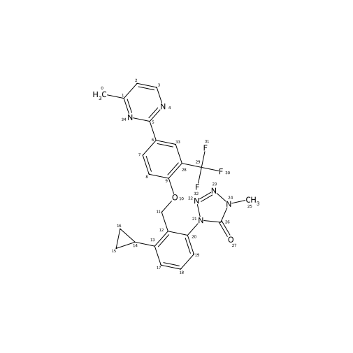 Cc1ccnc(-c2ccc(OCc3c(C4CC4)cccc3-n3nnn(C)c3=O)c(C(F)(F)F)c2)n1